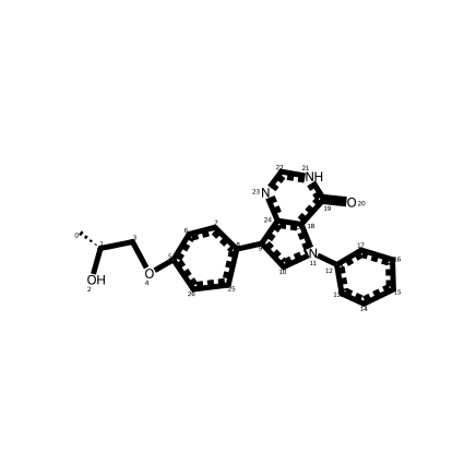 C[C@@H](O)COc1ccc(-c2cn(-c3ccccc3)c3c(=O)[nH]cnc23)cc1